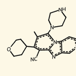 Cc1c(C2CCOCC2)c(C#N)c2nc3ccccc3n2c1N1CCNCC1